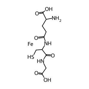 NC(CCC(=O)NC(CS)C(=O)NCC(=O)O)C(=O)O.[Fe]